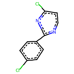 Clc1ccc(-c2nccc(Cl)n2)cc1